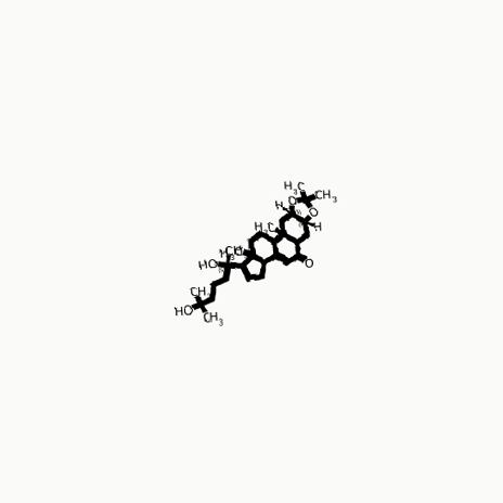 CC(C)(O)CCC[C@](C)(O)C1CCC2C3=CC(=O)C4C[C@H]5OC(C)(C)O[C@H]5CC4(C)C3CCC21C